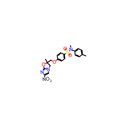 Cc1ccc(N(C)S(=O)(=O)c2ccc(OCC3(C)Cn4cc([N+](=O)[O-])nc4O3)cc2)cc1